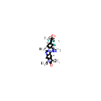 Cc1nc(NC(C)c2cccc(C(F)(F)C(C)(C)O)c2F)c2cc3c(cc2n1)N(C)C(=O)[C@H]3C